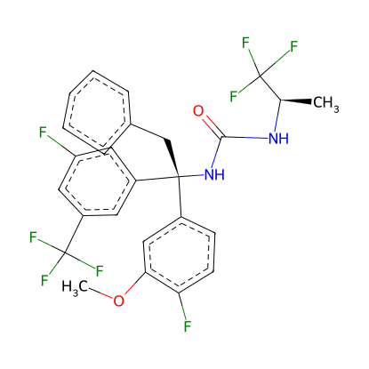 COc1cc([C@@](Cc2ccccc2)(NC(=O)N[C@H](C)C(F)(F)F)c2cc(F)cc(C(F)(F)F)c2)ccc1F